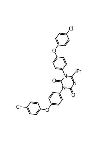 CC(C)c1nc(=O)n(-c2ccc(Oc3ccc(Cl)cc3)cc2)c(=O)n1-c1ccc(Oc2ccc(Cl)cc2)cc1